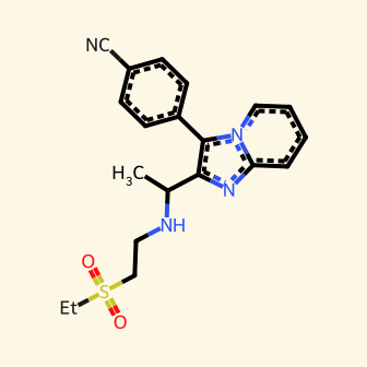 CCS(=O)(=O)CCNC(C)c1nc2ccccn2c1-c1ccc(C#N)cc1